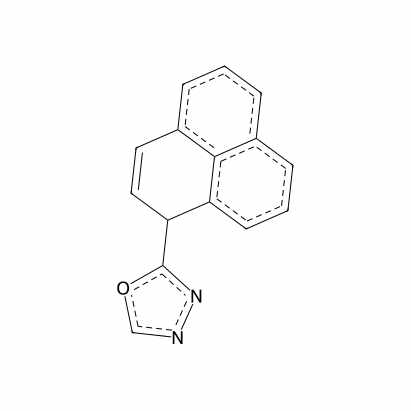 C1=CC(c2nnco2)c2cccc3cccc1c23